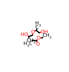 CC(O)COC(C)CO.CCOC(=O)CC